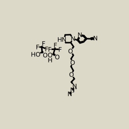 N#Cc1ccc(N2CCNCC2COCCOCCOCCN=[N+]=[N-])nc1.O=C(O)C(F)(F)F.O=C(O)C(F)(F)F